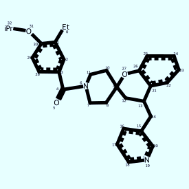 CCc1cc(C(=O)N2CCC3(CC2)CC(Cc2cccnc2)c2ccccc2O3)ccc1OC(C)C